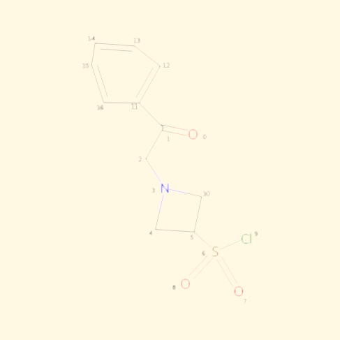 O=C(CN1CC(S(=O)(=O)Cl)C1)c1ccccc1